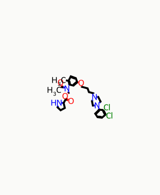 CC(=O)N(COC(=O)C1CCCN1)c1cc(OCCCCN2CCN(c3cccc(Cl)c3Cl)CC2)ccc1C